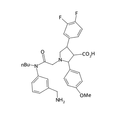 CCCCN(C(=O)CN1CC(c2ccc(F)c(F)c2)C(C(=O)O)C1c1ccc(OC)cc1)c1cccc(CN)c1